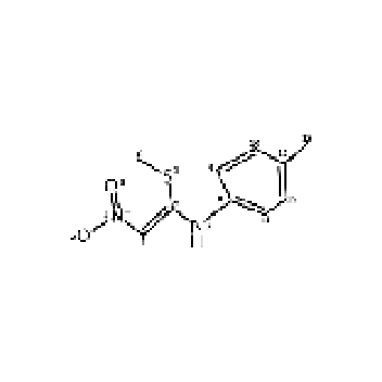 CSC(=C[N+](=O)[O-])Nc1ccc(C)cc1